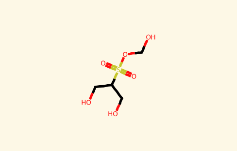 O=S(=O)(OCO)C(CO)CO